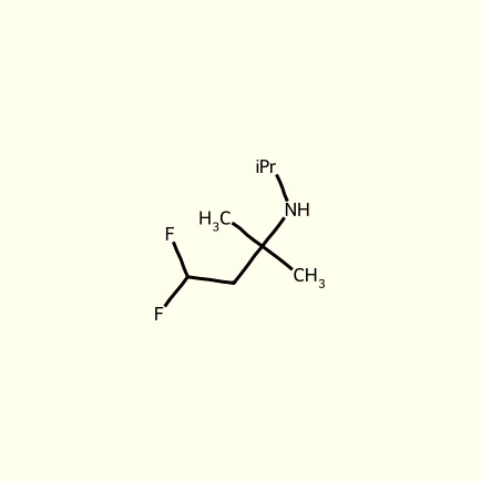 CC(C)NC(C)(C)CC(F)F